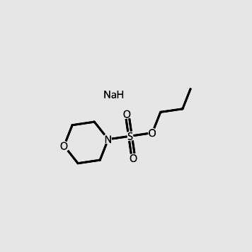 CCCOS(=O)(=O)N1CCOCC1.[NaH]